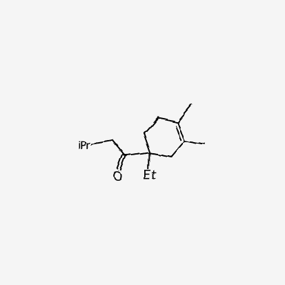 CCC1(C(=O)CC(C)C)CCC(C)=C(C)C1